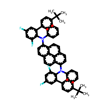 CC(C)(C)c1ccc(-c2cc(F)cc(F)c2N(c2ccccc2)c2ccc3ccc4c(N(c5ccccc5)c5c(F)cc(F)cc5-c5ccc(C(C)(C)C)cc5)ccc5ccc2c3c54)cc1